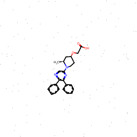 C[C@H]1C[C@@H](OCC(=O)O)CCN1c1cnc(-c2ccccc2)c(-c2ccccc2)n1